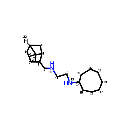 CC1(C)C2C[C@@H]1CCC2CNCCNC1CCCCCCC1